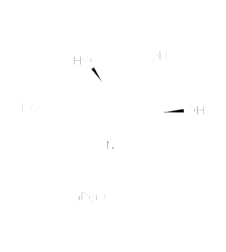 CCCCC[C@@H]1C[C@@]2(CO)[C@@H](O)[C@H](O)[C@@H](O)CN12